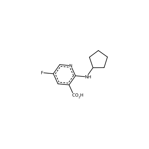 O=C(O)c1cc(F)cnc1NC1CCCC1